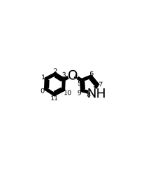 c1ccc(Oc2cc[nH]c2)cc1